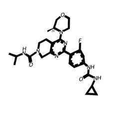 CC(C)NC(=O)N1CCc2c(nc(-c3ccc(NC(=O)NC4CC4)cc3F)nc2N2CCOC[C@@H]2C)C1